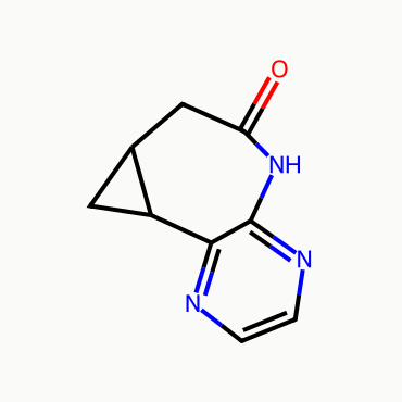 O=C1CC2CC2c2nccnc2N1